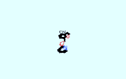 N#Cc1ccc(COc2ccccn2)c2c1CCO2